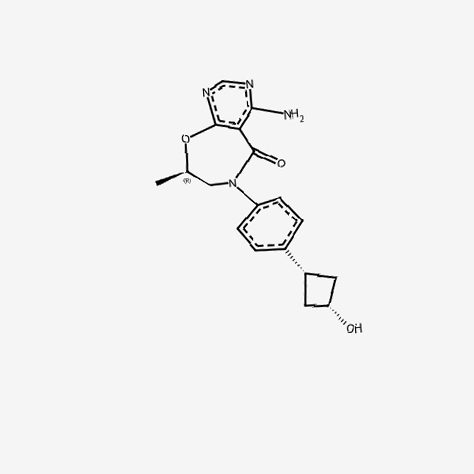 C[C@@H]1CN(c2ccc([C@H]3C[C@@H](O)C3)cc2)C(=O)c2c(N)ncnc2O1